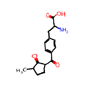 CC1CCC(C(=O)c2ccc(CC(N)C(=O)O)cc2)C1=O